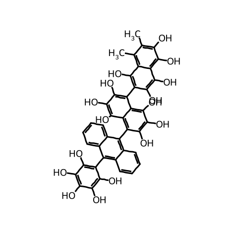 Cc1c(O)c(O)c2c(O)c(O)c(-c3c(O)c(O)c(O)c4c(-c5c6ccccc6c(-c6c(O)c(O)c(O)c(O)c6O)c6ccccc56)c(O)c(O)c(O)c34)c(O)c2c1C